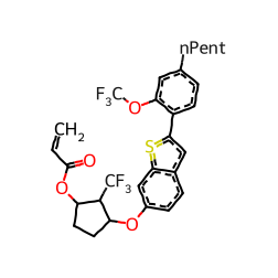 C=CC(=O)OC1CCC(Oc2ccc3cc(-c4ccc(CCCCC)cc4OC(F)(F)F)sc3c2)C1C(F)(F)F